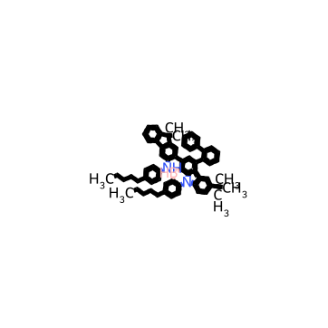 CCCCCc1ccc(Nc2cc3c(cc2-c2cc(-c4ccccc4-c4ccccc4)c4c5cc(C(C)(C)C)ccc5n5c4c2Bc2cc(CCCCC)ccc2-5)C(C)(C)c2ccccc2-3)cc1